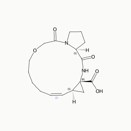 O=C1N[C@]2(C(=O)O)C[C@H]2/C=C\CCCCOCC(=O)N2CCC[C@@H]12